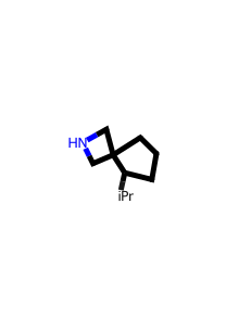 CC(C)C1CCCC12CNC2